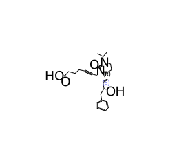 CC(C)N1CC[C@H](/C=C/C(O)Cc2ccccc2)N(CC#CCCCC(=O)O)C1=O